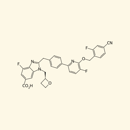 N#Cc1ccc(COc2nc(-c3ccc(Cc4nc5c(F)cc(C(=O)O)cc5n4C[C@@H]4CCO4)cc3)ccc2F)c(F)c1